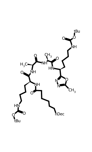 CCCCCCCCCCCCCCCC(=O)N[C@@H](CCCCNC(=O)OC(C)(C)C)C(=O)N[C@@H](C)C(=O)N[C@@H](C)C(=O)N[C@@H](CCCCNC(=O)OC(C)(C)C)c1nnc(C)o1